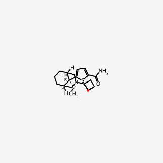 CO[C@@]1(c2ccc(C(N)=O)s2)[C@@H]2CCC[C@H]1CN(C13CC(C1)C3)C2